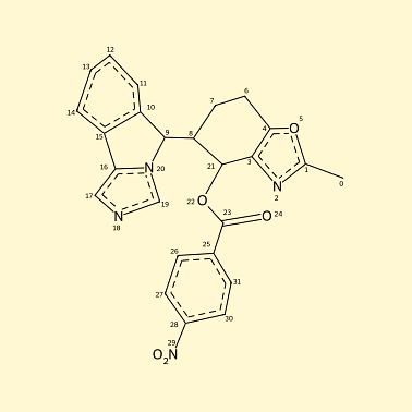 Cc1nc2c(o1)CCC(C1c3ccccc3-c3cncn31)C2OC(=O)c1ccc([N+](=O)[O-])cc1